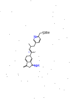 C=C1CC(=N)C2=CC(/C(C)=C/C(C)Cc3ccc(CSC)nc3)CC=C12